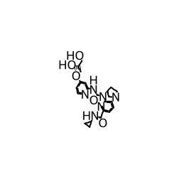 O=C(NC1CC1)c1ccc2c(n1)N(C(=O)Nc1cc(OC[C@H](O)CO)ccn1)C1CCN2C1